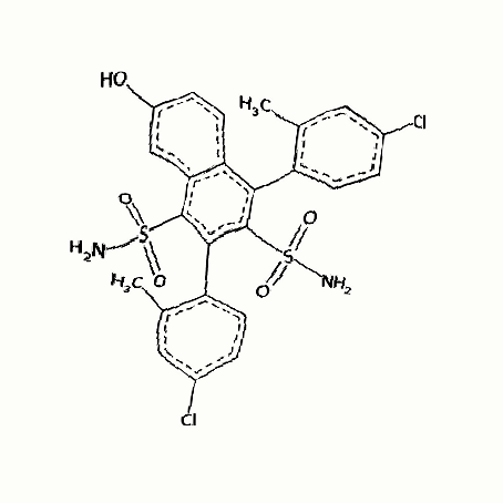 Cc1cc(Cl)ccc1-c1c(S(N)(=O)=O)c(-c2ccc(Cl)cc2C)c2ccc(O)cc2c1S(N)(=O)=O